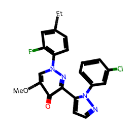 CCc1ccc(-n2cc(OC)c(=O)c(-c3ccnn3-c3cccc(Cl)c3)n2)c(F)c1